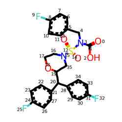 O=C(O)N(Cc1ccc(F)cc1)S(=O)(=O)N1CCOC(C(c2ccc(F)cc2)c2ccc(F)cc2)C1